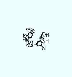 COc1cc(S(C)(=O)=O)ccc1Nc1nccc(-c2cc(C#N)c3c(c2)[C@@](C)(CO)CN3)n1